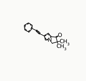 CC1(C)Cn2cc(C#Cc3ccccc3)cc2C1=O